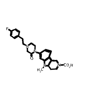 Cn1c2c(c3ccc(N4CCN(CCc5ccc(F)cc5)CC4=O)cc31)CN(C(=O)O)CC2